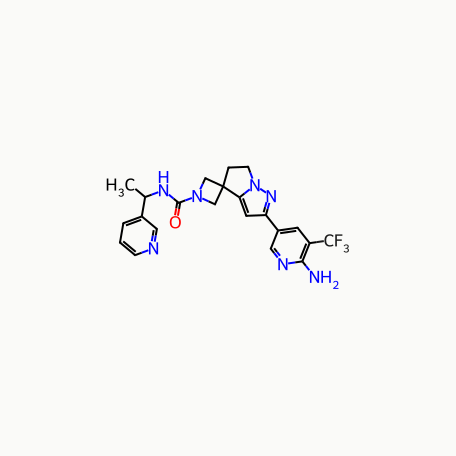 CC(NC(=O)N1CC2(CCn3nc(-c4cnc(N)c(C(F)(F)F)c4)cc32)C1)c1cccnc1